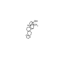 C[C@]12CC=C3C4=C(CC[C@H]3[C@@H]1CCC2O)CC1(CC4)OCCO1